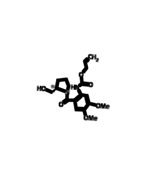 C=CCOC(=O)Nc1cc(OC)c(OC)cc1C(=O)N1CCC[C@H]1CO